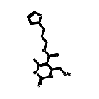 CC(=O)OCC1NC(=S)NC(C)=C1C(=O)OCCCc1cccs1